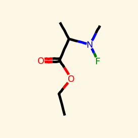 CCOC(=O)C(C)N(C)F